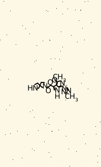 COc1cnc(-n2cnc(C)n2)c2[nH]cc(C(=O)C(=O)N3CCC4(CCNC4)C3)c12